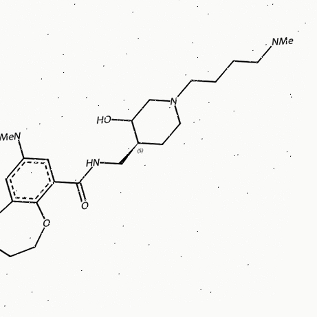 CNCCCCN1CC[C@@H](CNC(=O)c2cc(NC)cc3c2OCCCO3)C(O)C1